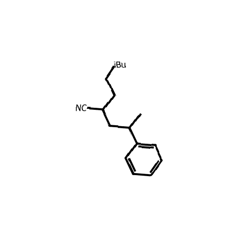 CCC(C)CCC(C#N)CC(C)c1ccccc1